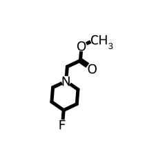 COC(=O)CN1CCC(F)CC1